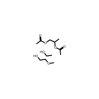 CC(=O)OCC(C)OC(C)=O.CCO.COCCO